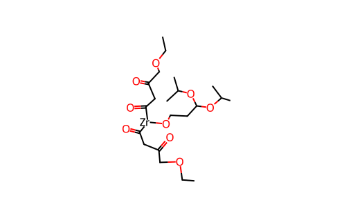 CCOCC(=O)C[C](=O)[Zr]([O]CCC(OC(C)C)OC(C)C)[C](=O)CC(=O)COCC